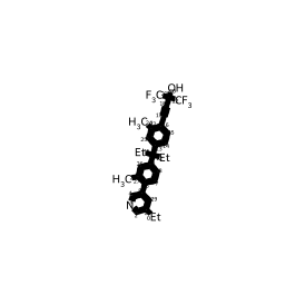 CCc1cncc(-c2ccc(C(CC)(CC)c3ccc(C#CC(O)(C(F)(F)F)C(F)(F)F)c(C)c3)cc2C)c1